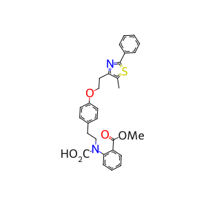 COC(=O)c1ccccc1N(CCc1ccc(OCCc2nc(-c3ccccc3)sc2C)cc1)C(=O)O